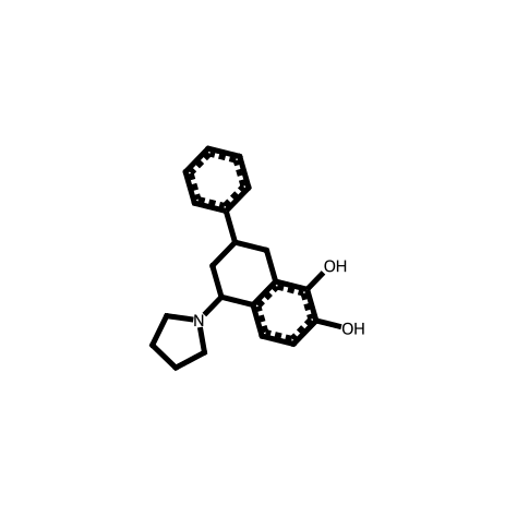 Oc1ccc2c(c1O)CC(c1ccccc1)CC2N1CCCC1